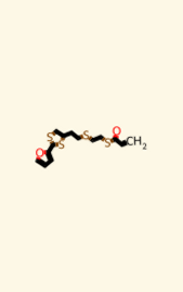 C=CC(=O)SCCSCCC1CSC(c2ccco2)S1